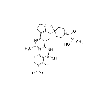 Cc1nc(N[C@H](C)c2cccc(C(F)F)c2F)c2cc(C3(O)CCN(C(=O)[C@H](C)O)CC3)c3c(c2n1)CCO3